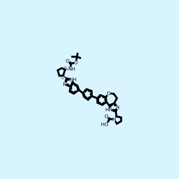 CC(C)(C)OC(=O)N[C@H]1CCC[C@@H]1c1nc2ccc(-c3ccc(-c4ccc5c(c4)OCCc4nc(C6CCCN6C(=O)O)[nH]c4-5)cc3)cc2[nH]1